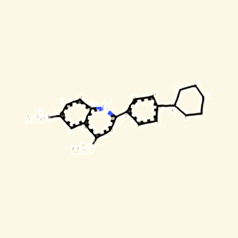 COc1cc(-c2ccc(C3CCCCC3)cc2)nc2ccc(NC(C)=O)cc12